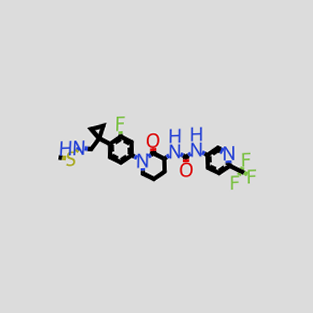 CSNCC1(c2ccc(N3CCCC(NC(=O)Nc4ccc(C(F)(F)F)nc4)C3=O)cc2F)CC1